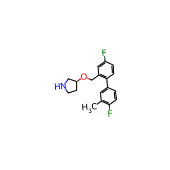 Cc1cc(-c2ccc(F)cc2CO[C@H]2CCNC2)ccc1F